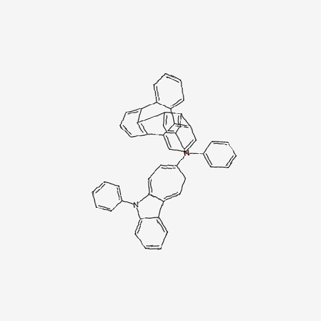 C1=C(N(c2ccccc2)c2ccc3c(c2)-c2cccc4c2-c2ccccc2-c2cccc-4c2-3)CC=c2c(n(-c3ccccc3)c3ccccc23)=C1